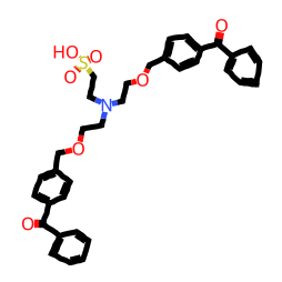 O=C(c1ccccc1)c1ccc(COCCN(CCOCc2ccc(C(=O)c3ccccc3)cc2)CCS(=O)(=O)O)cc1